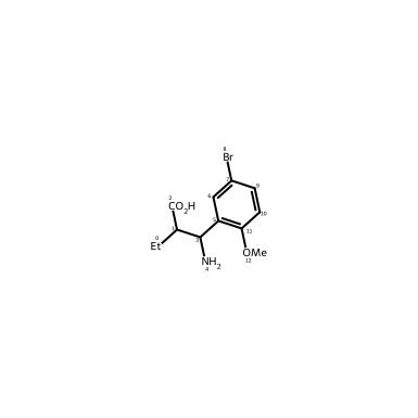 CCC(C(=O)O)C(N)c1cc(Br)ccc1OC